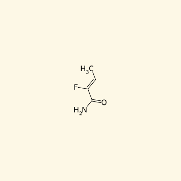 CC=C(F)C(N)=O